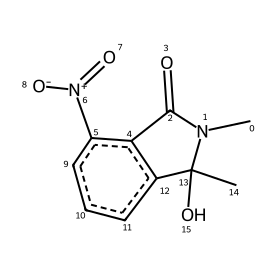 CN1C(=O)c2c([N+](=O)[O-])cccc2C1(C)O